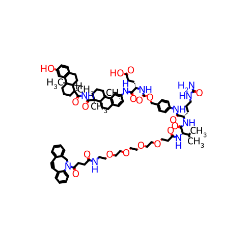 CC(C)[C@H](NC(=O)CCOCCOCCOCCOCCNC(=O)CCC(=O)N1Cc2ccccc2C#Cc2ccccc21)C(=O)N[C@@H](CCCNC(N)=O)C(=O)Nc1ccc(COC(=O)N[C@@H](CCC(=O)O)C(=O)Nc2ccc3c(c2)[C@@]2(C)CCC[C@](C)(C(=O)NC(=O)[C@@]4(C)CCC[C@]5(C)c6cc(O)ccc6CC[C@@H]45)C2CC3)cc1